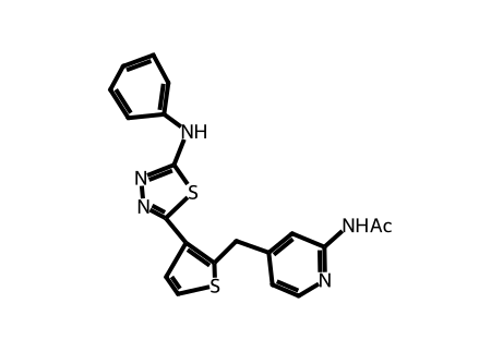 CC(=O)Nc1cc(Cc2sccc2-c2nnc(Nc3ccccc3)s2)ccn1